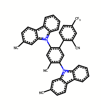 N#Cc1ccc2c3ccccc3n(-c3cc(-c4ccc(C(F)(F)F)cc4C#N)c(-n4c5ccccc5c5ccc(C#N)cc54)cc3C#N)c2c1